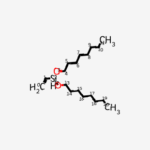 C=C[SiH](OCCCCCCCC)OCCCCCCCC